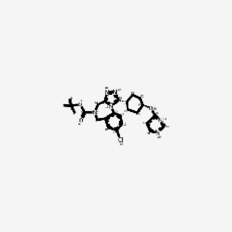 CC(C)(C)OC(=O)N1Cc2cc(Cl)ccc2-n2c(nnc2[C@H]2CC[C@H](Oc3ccncn3)CC2)C1